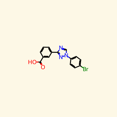 O=C(O)c1cccc(-c2ncn(-c3ccc(Br)cc3)n2)c1